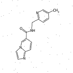 Cc1ccc(CNC(=O)c2ccc3nccn3c2)nc1